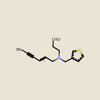 CC(C)(C)C#C/C=C/CN(CCC=O)Cc1ccsc1